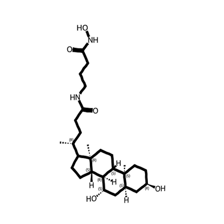 C[C@H](CCC(=O)NCCCC(=O)NO)C1CC[C@H]2[C@@H]3[C@@H](O)C[C@@H]4C[C@H](O)CC[C@]4(C)[C@H]3CC[C@]12C